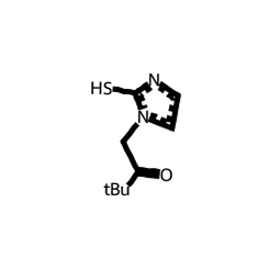 CC(C)(C)C(=O)Cn1ccnc1S